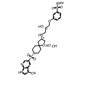 CNS(=O)(=O)c1cccc(OC[C@@H](O)CN[C@H]2COC3(CCN(S(=O)(=O)c4cnc5[nH]cc(C#N)c5c4)CC3)C2)c1.Cl.Cl